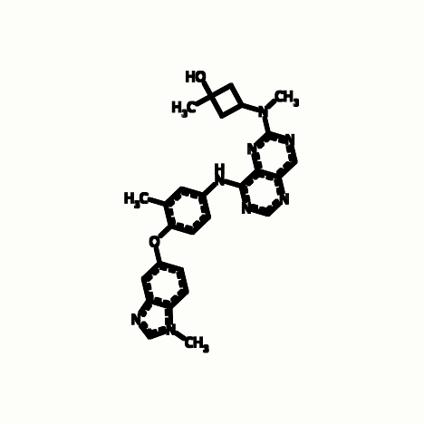 Cc1cc(Nc2ncnc3cnc(N(C)C4CC(C)(O)C4)nc23)ccc1Oc1ccc2c(c1)ncn2C